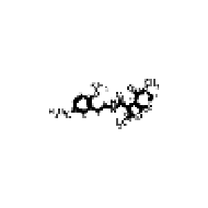 COc1ccc(OC)c(CCNC(=O)c2c(C)oc3ncn(C)c(=O)c23)c1